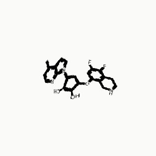 Cc1ccnc2c1ccn2C1CC(Oc2cc(F)c(F)c3c2CNCC3)[C@@H](O)[C@H]1O